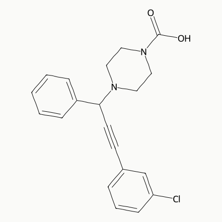 O=C(O)N1CCN(C(C#Cc2cccc(Cl)c2)c2ccccc2)CC1